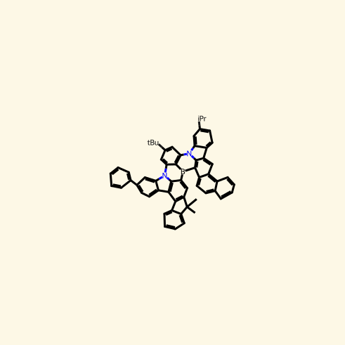 CC(C)c1ccc2c3cc4c(ccc5ccccc54)c4c3n(c2c1)-c1cc(C(C)(C)C)cc2c1B4c1cc3c(c4c5ccc(-c6ccccc6)cc5n-2c14)-c1ccccc1C3(C)C